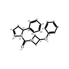 O=C(N1CC(Oc2ccccc2)C1)N1N=CCC1c1ccccc1